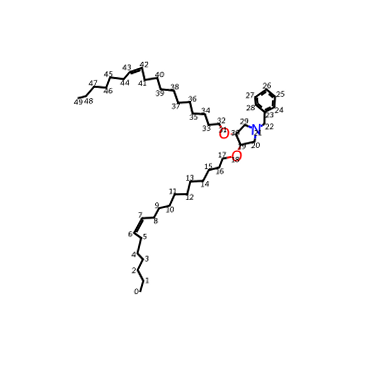 CCCCCC/C=C\CCCCCCCCCCO[C@@H]1CN(Cc2ccccc2)C[C@H]1OCCCCCCCCCC/C=C\CCCCCC